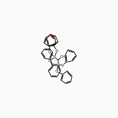 CC([Si](Oc1ccccc1)(Oc1ccccc1)Oc1ccccc1)[Si](Oc1ccccc1)(Oc1ccccc1)Oc1ccccc1